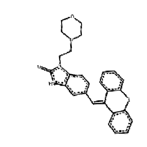 O=c1[nH]c2cc(C=C3c4ccccc4Sc4ccccc43)ccc2n1CCN1CCOCC1